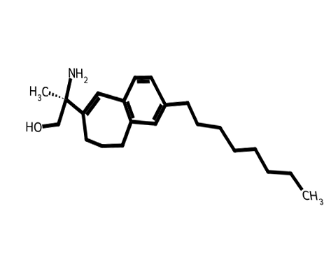 CCCCCCCCc1ccc2c(c1)CCCC([C@](C)(N)CO)=C2